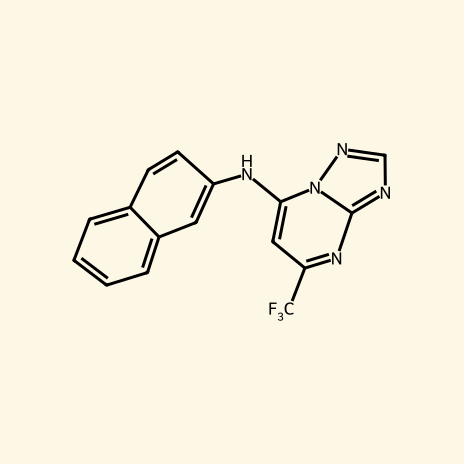 FC(F)(F)c1cc(Nc2ccc3ccccc3c2)n2ncnc2n1